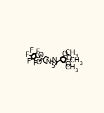 COc1cc(-c2csc(N3CCC(S(=O)(=O)c4c(F)c(F)c(F)c(F)c4F)CC3)n2)cc(OC)c1OC